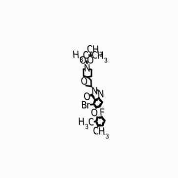 Cc1ccc(F)c(Oc2ccc3ncn([C@@H]4COC5(CCN(C(=O)OC(C)(C)C)CC5)C4)c(=O)c3c2Br)c1C